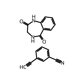 C#Cc1cccc(C#N)c1.O=C1CNC(=O)c2ccccc2N1